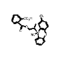 CC(COC(=O)c1ccccc1C(=O)O)[N+]1(C#N)c2ccccc2Sc2ccc(C#N)cc21